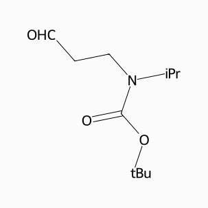 CC(C)N(CCC=O)C(=O)OC(C)(C)C